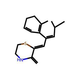 C=C1NCCS/C1=C\C(=C\C(C)C)C1=C(C)CCC=C1